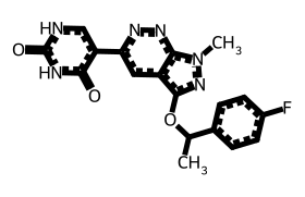 CC(Oc1nn(C)c2nnc(-c3c[nH]c(=O)[nH]c3=O)cc12)c1ccc(F)cc1